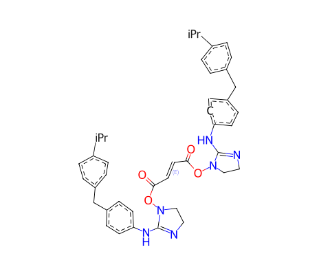 CC(C)c1ccc(Cc2ccc(NC3=NCCN3OC(=O)/C=C/C(=O)ON3CCN=C3Nc3ccc(Cc4ccc(C(C)C)cc4)cc3)cc2)cc1